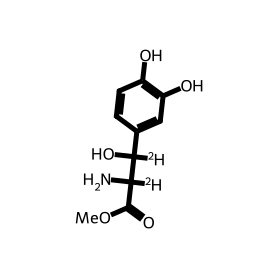 [2H]C(N)(C(=O)OC)C([2H])(O)c1ccc(O)c(O)c1